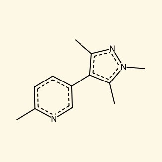 Cc1ccc(-c2c(C)nn(C)c2C)cn1